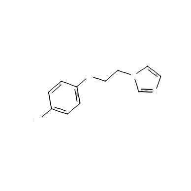 Cc1ccc(OCCn2ccnc2)cc1